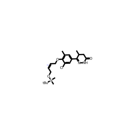 Cc1cc(C2=NNC(=O)CC2C)cc(Cl)c1OC/C=C\CO[Si](C)(C)C(C)(C)C